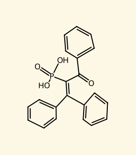 O=C(C(=C(c1ccccc1)c1ccccc1)P(=O)(O)O)c1ccccc1